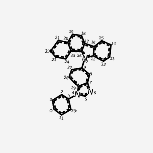 c1ccc(-n2cnc3cc(-n4c5ccccc5c5ccc6ccccc6c54)ccc32)cc1